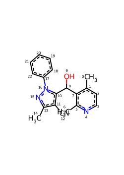 Cc1ccnc(C)c1C(O)c1c(C#N)c(C)nn1-c1ccccc1